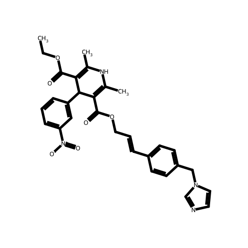 CCOC(=O)C1=C(C)NC(C)=C(C(=O)OCC=Cc2ccc(Cn3ccnc3)cc2)C1c1cccc([N+](=O)[O-])c1